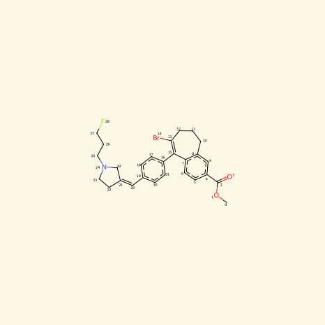 COC(=O)c1ccc2c(c1)CCCC(Br)=C2c1ccc(C=C2CCN(CCCF)C2)cc1